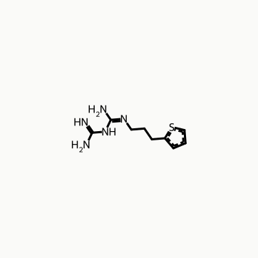 N=C(N)NC(N)=NCCCc1cccs1